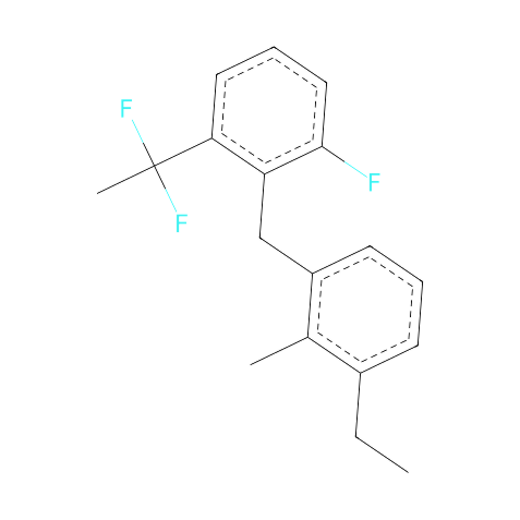 CCc1cccc(Cc2c(F)cccc2C(C)(F)F)c1C